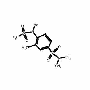 CC(=O)N(c1ccc(S(=O)(=O)N(C)C)cc1C)S(=O)(=O)C(F)(F)F